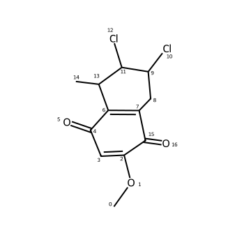 COC1=CC(=O)C2=C(CC(Cl)C(Cl)C2C)C1=O